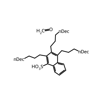 C=O.CCCCCCCCCCCCCc1c(CCCCCCCCCCCCC)c(S(=O)(=O)O)c2ccccc2c1CCCCCCCCCCCCC